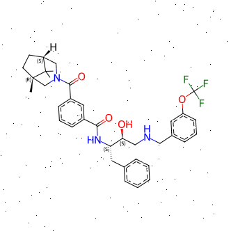 CC1(C)[C@@H]2CC[C@@]1(C)CN(C(=O)c1cccc(C(=O)N[C@@H](Cc3ccccc3)[C@@H](O)CNCc3cccc(OC(F)(F)F)c3)c1)C2